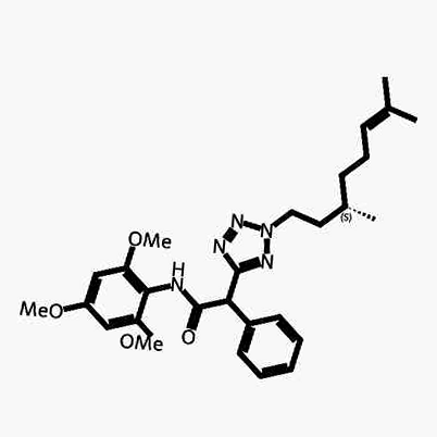 COc1cc(OC)c(NC(=O)C(c2ccccc2)c2nnn(CC[C@@H](C)CCC=C(C)C)n2)c(OC)c1